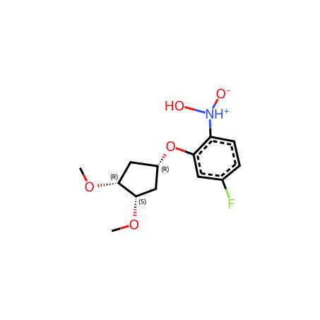 CO[C@H]1C[C@@H](Oc2cc(F)ccc2[NH+]([O-])O)C[C@H]1OC